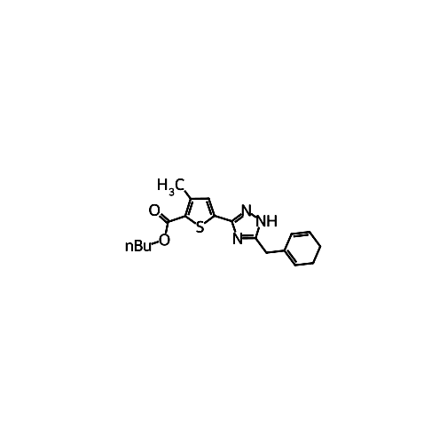 CCCCOC(=O)c1sc(-c2n[nH]c(CC3=CCCC=C3)n2)cc1C